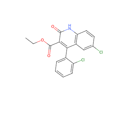 CCOC(=O)c1c(-c2ccccc2Cl)c2cc(Cl)ccc2[nH]c1=O